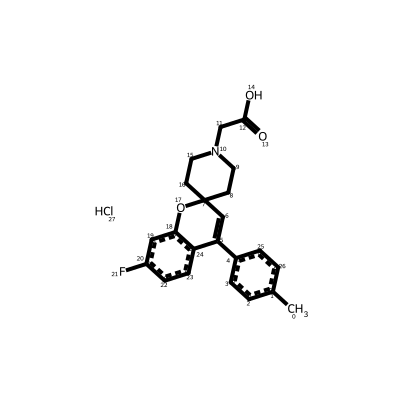 Cc1ccc(C2=CC3(CCN(CC(=O)O)CC3)Oc3cc(F)ccc32)cc1.Cl